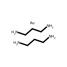 NCCCN.NCCCN.[Au]